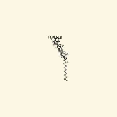 CCCCCCCCCCCCOC(=O)[C@H](C)O[PH](=O)OC[C@@]1(C)O[C@@H](n2cnc3c(N)nc(F)nc32)C[C@@H]1O